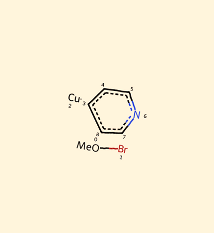 COBr.[Cu].c1ccncc1